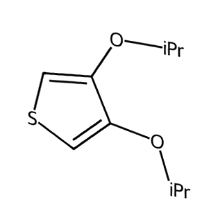 CC(C)Oc1cscc1OC(C)C